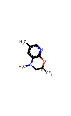 Cc1cnc2c(c1)N(C)C[C@H](C(F)(F)F)O2